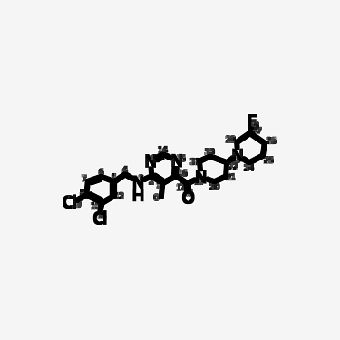 Cc1c(NCc2ccc(Cl)c(Cl)c2)ncnc1C(=O)N1CCC(N2CCCC(F)C2)CC1